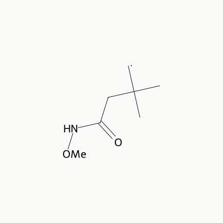 [CH2]C(C)(C)CC(=O)NOC